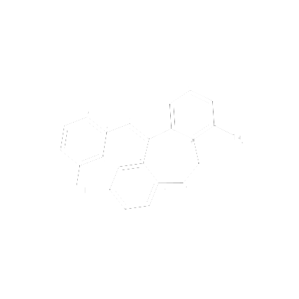 Oc1cccc(/C=C2\c3ccccc3CCc3c(Br)cccc32)c1